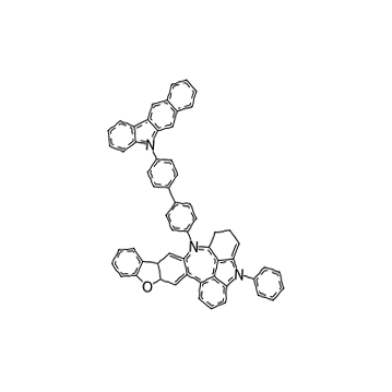 C1=c2c(n(-c3ccc(-c4ccc(-n5c6ccccc6c6cc7ccccc7cc65)cc4)cc3)c3c4c(n(-c5ccccc5)c5cccc2c45)=CCC3)=CC2c3ccccc3OC12